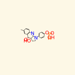 Cc1ccc2c(c1)C(=O)C1(O)CCN(c3ccc(O[PH](=O)O)cc3)C1=N2